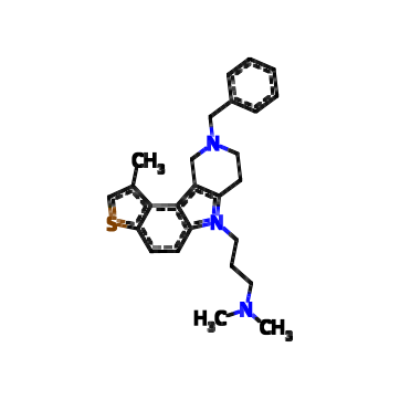 Cc1csc2ccc3c(c4c(n3CCCN(C)C)CCN(Cc3ccccc3)C4)c12